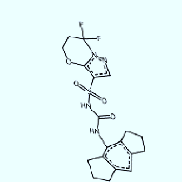 O=C(Nc1c2c(cc3c1CCC3)CCC2)NS(=O)(=O)c1cnn2c1OCCC2(F)F